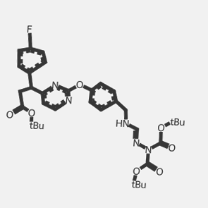 CC(C)(C)OC(=O)CC(c1ccc(F)cc1)c1ccnc(Oc2ccc(CNC=NN(C(=O)OC(C)(C)C)C(=O)OC(C)(C)C)cc2)n1